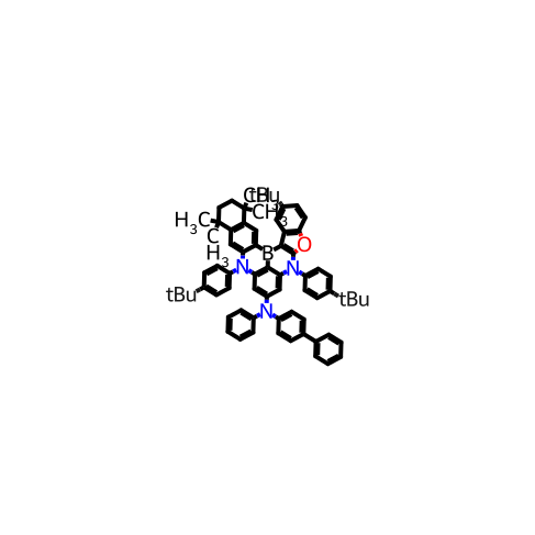 CC(C)(C)c1ccc(N2c3cc4c(cc3B3c5c2cc(N(c2ccccc2)c2ccc(-c6ccccc6)cc2)cc5N(c2ccc(C(C)(C)C)cc2)c2oc5ccc(C(C)(C)C)cc5c23)C(C)(C)CCC4(C)C)cc1